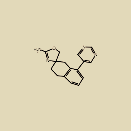 NC1=NC2(CCc3cccc(-c4cncnc4)c3C2)CO1